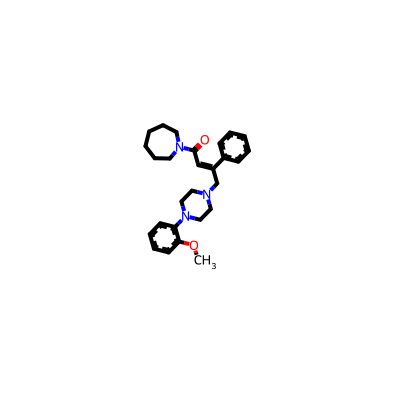 COc1ccccc1N1CCN(C/C(=C/C(=O)N2CCCCCC2)c2ccccc2)CC1